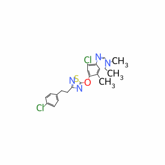 CCN(C)/C=N\c1cc(C)c(Oc2nc(CCc3ccc(Cl)cc3)ns2)cc1Cl